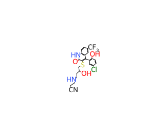 N#CCCNCCC(O)CSc1c(-c2cc(Cl)ccc2O)c2cc(C(F)(F)F)ccc2[nH]c1=O